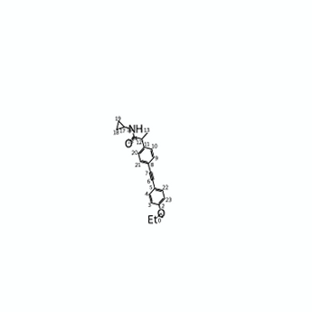 CCOc1ccc(C#Cc2ccc(C(C)C(=O)NC3CC3)cc2)cc1